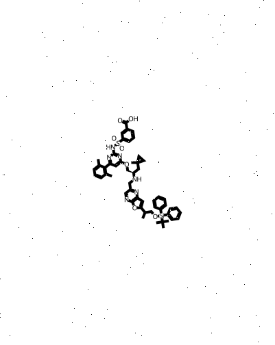 Cc1cccc(C)c1-c1cc(OC[C@@H](CC2(C)CC2)NCc2cnc3oc(C(C)CO[Si](c4ccccc4)(c4ccccc4)C(C)(C)C)cc3n2)nc(NS(=O)(=O)c2cccc(C(=O)O)c2)n1